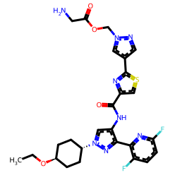 CCO[C@H]1CC[C@H](n2cc(NC(=O)c3csc(-c4cnn(COC(=O)CN)c4)n3)c(-c3nc(F)ccc3F)n2)CC1